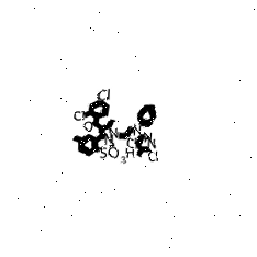 C=C(Cl)CN(c1ccccc1)c1cc(C)c(Cl)nn1.Cc1ccc(S(=O)(=O)O)c(-c2c(C(=O)c3ccc(Cl)cc3Cl)c(C)nn2C)c1